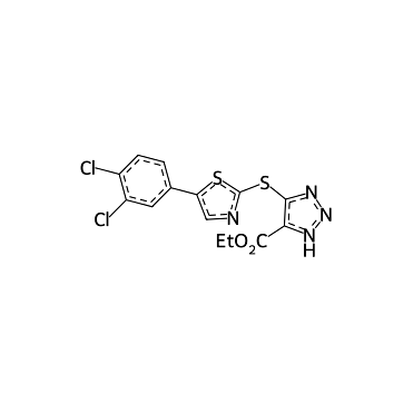 CCOC(=O)c1[nH]nnc1Sc1ncc(-c2ccc(Cl)c(Cl)c2)s1